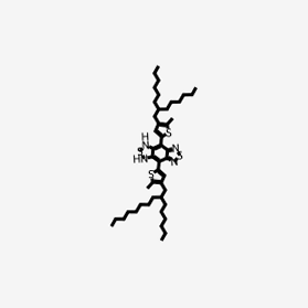 CCCCCCCCC(CCCCCC)Cc1cc(-c2c3c(c(-c4cc(CC(CCCCCC)CCCCCC)c(C)s4)c4nsnc24)NSN3)sc1C